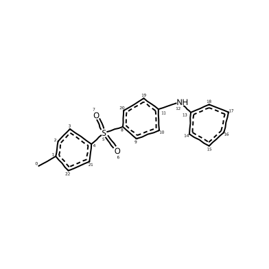 Cc1ccc(S(=O)(=O)c2ccc(Nc3ccccc3)cc2)cc1